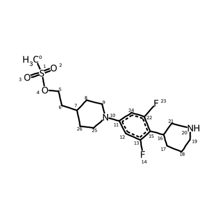 CS(=O)(=O)OCCC1CCN(c2cc(F)c(C3CCCNC3)c(F)c2)CC1